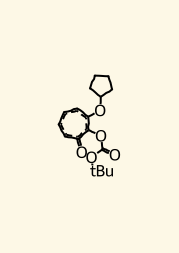 CC(C)(C)OC(=O)Oc1c(OC2CCCC2)ccccc1=O